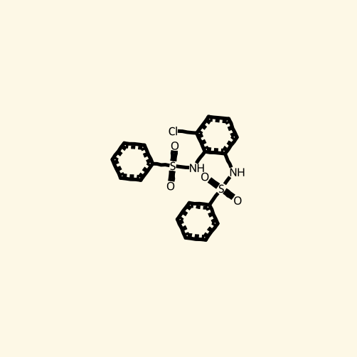 O=S(=O)(Nc1cccc(Cl)c1NS(=O)(=O)c1ccccc1)c1ccccc1